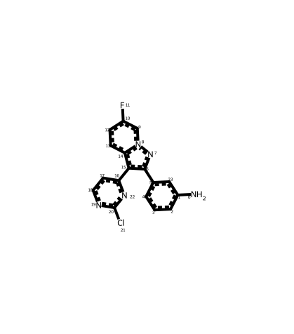 Nc1cccc(-c2nn3cc(F)ccc3c2-c2ccnc(Cl)n2)c1